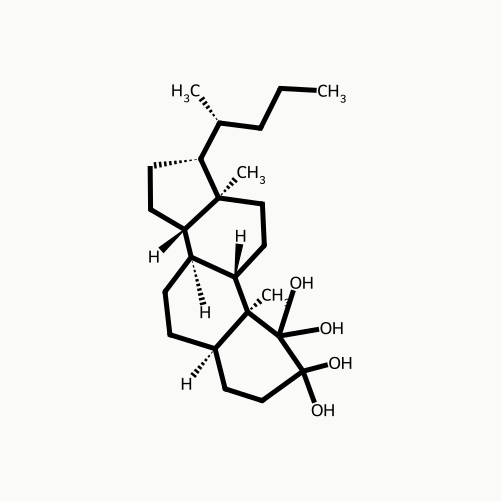 CCC[C@@H](C)[C@H]1CC[C@H]2[C@@H]3CC[C@@H]4CCC(O)(O)C(O)(O)[C@]4(C)[C@H]3CC[C@]12C